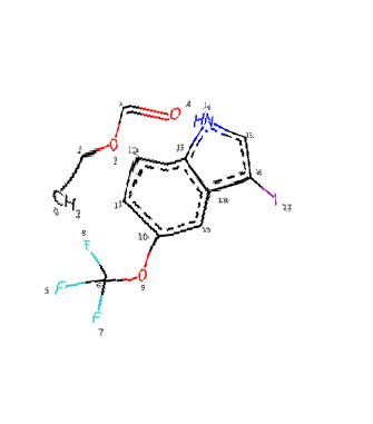 CCOC=O.FC(F)(F)Oc1ccc2[nH]cc(I)c2c1